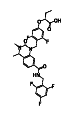 CC[C@H](Oc1cc(F)c(CN2C(=O)N(C)C(C)c3ccc(C(=O)NCc4c(F)cc(F)cc4F)cc32)c(F)c1)C(=O)O